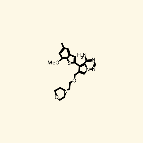 COc1cc(C)cc2cc(-c3c(COCCN4CCOCC4)cn4ncnc(N)c34)sc12